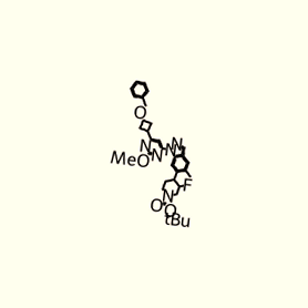 COc1nc(C2CC(OCc3ccccc3)C2)cc(-n2ncc3cc(C)c(C4CCN(C(=O)OC(C)(C)C)CC4F)cc32)n1